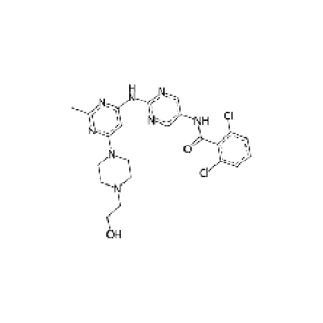 Cc1nc(Nc2ncc(NC(=O)c3c(Cl)cccc3Cl)cn2)cc(N2CCN(CCO)CC2)n1